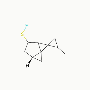 CC1CC12C1C(SF)C[C@H]3CC132